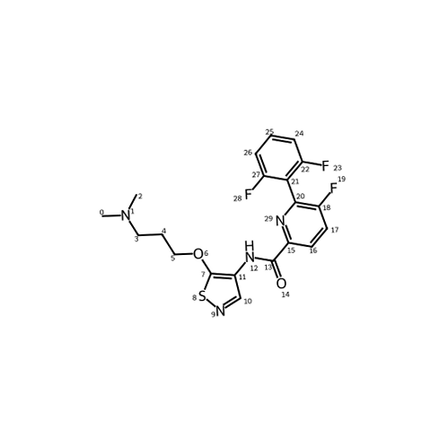 CN(C)CCCOc1sncc1NC(=O)c1ccc(F)c(-c2c(F)cccc2F)n1